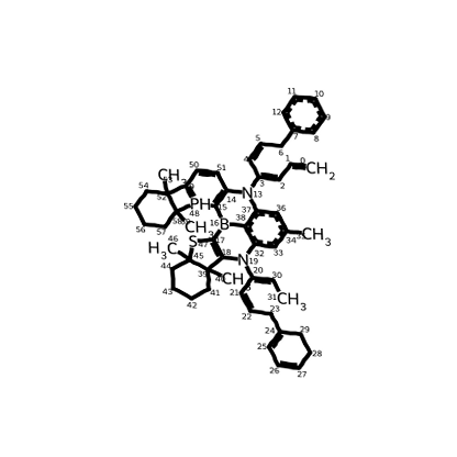 C=C/C=C(\C=C/Cc1ccccc1)N1C2=C(B3C4=C(N(C(/C=C\CC5=CC=CCC5)=C/C)c5cc(C)cc1c53)C1(C)CCCCC1(C)S4)[PH]1=C(C=C2)C2(C)CCCCC12C